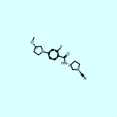 CO[C@@H]1CCN(c2ccc(C(=O)N[C@@H]3CCN(C#N)C3)c(F)c2)C1